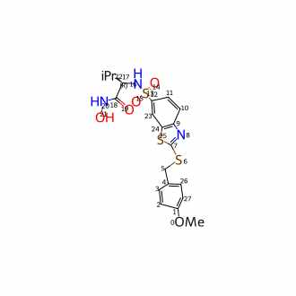 COc1ccc(CSc2nc3ccc(S(=O)(=O)N[C@@H](C(=O)NO)C(C)C)cc3s2)cc1